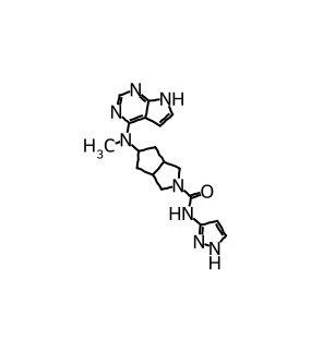 CN(c1ncnc2[nH]ccc12)C1CC2CN(C(=O)Nc3cc[nH]n3)CC2C1